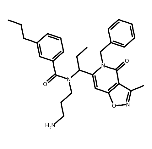 CCCc1cccc(C(=O)N(CCCN)C(CC)c2cc3onc(C)c3c(=O)n2Cc2ccccc2)c1